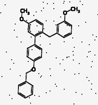 COc1cccc(Cc2ccc(OC)cc2-c2ccc(OCc3ccccc3)cc2)c1